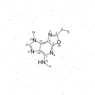 CCc1nc2c(nc(NC)c3ncn(C)c32)o1